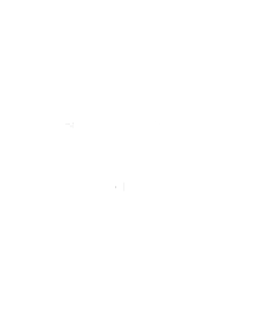 FC(F)(F)Sc1cc(Cl)cc(Br)c1